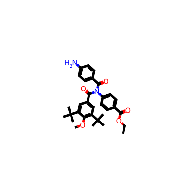 CCOC(=O)c1ccc(N(C(=O)c2ccc(N)cc2)C(=O)c2cc(C(C)(C)C)c(OC)c(C(C)(C)C)c2)cc1